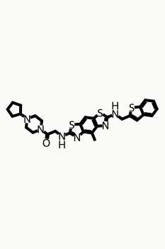 Cc1c2nc(NCC(=O)N3CCN(C4CCCC4)CC3)sc2cc2sc(NCc3cc4ccccc4s3)nc12